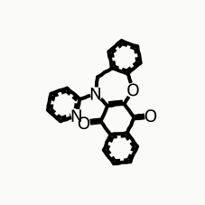 O=C1C2=C(C(=O)c3ccccc31)N(c1ccccn1)Cc1ccccc1O2